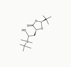 CC(C)(C)[C@@H]1OC(=O)[C@H](CC(O)[Si](C)(C)C(C)(C)C)O1